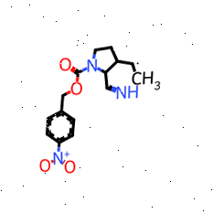 C[CH]C1CCN(C(=O)OCc2ccc([N+](=O)[O-])cc2)C1C=N